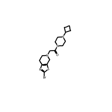 O=C(CN1CCc2nc(Br)sc2C1)N1CCN(C2CCC2)CC1